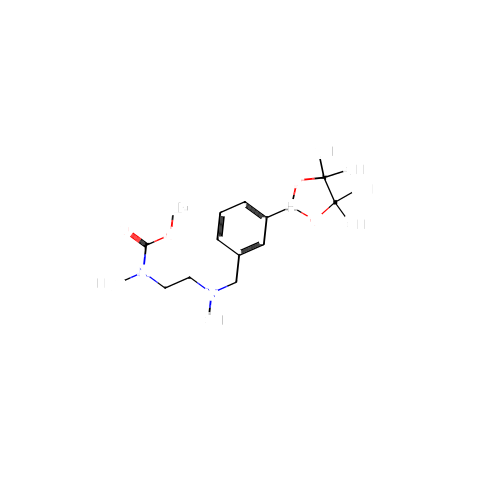 CN(CCN(C)C(=O)OC(C)(C)C)Cc1cccc(B2OC(C)(C)C(C)(C)O2)c1